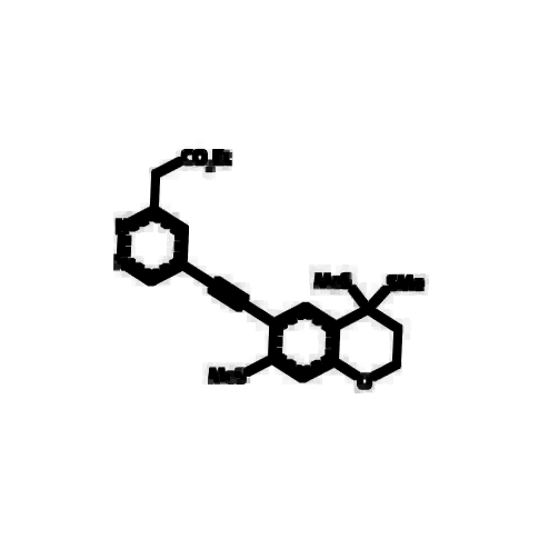 CCOC(=O)Cc1cc(C#Cc2cc3c(cc2SC)OCCC3(SC)SC)cnn1